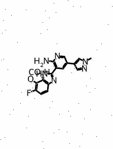 Cn1cc(-c2cnc(N)c(-c3nc4ccc(F)c(OC(=O)O)c4[nH]3)c2)cn1